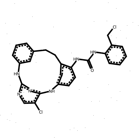 O=C(Nc1ccccc1CCl)Nc1ccc2cc1CCc1cccc(c1)Nc1ncc(Cl)c(n1)N2